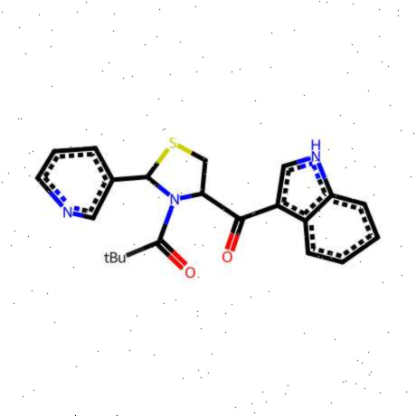 CC(C)(C)C(=O)N1C(C(=O)c2c[nH]c3ccccc23)CSC1c1cccnc1